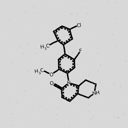 COc1cc(-c2cc(Cl)ccc2C)c(F)cc1-n1c2c(ccc1=O)CNCC2